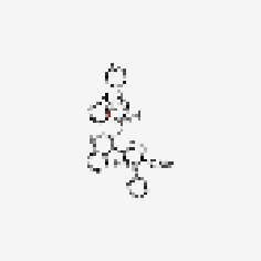 COC(=O)N(NC(=O)c1c(CN2C[C@H]3C[C@@H]2CN3C2CCOCC2)c(-c2ccccc2)nc2ccccc12)c1ccccc1